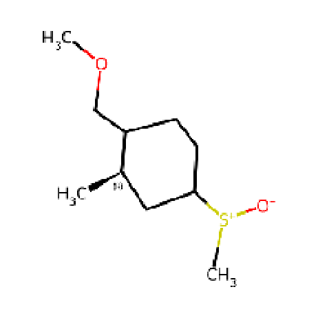 COCC1CCC([S+](C)[O-])C[C@H]1C